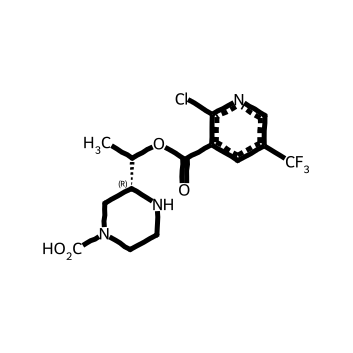 CC(OC(=O)c1cc(C(F)(F)F)cnc1Cl)[C@H]1CN(C(=O)O)CCN1